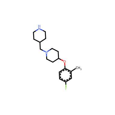 Cc1cc(F)ccc1OC1CCN(CC2CCNCC2)CC1